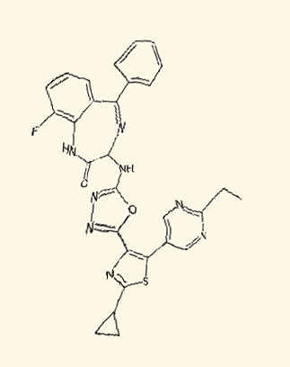 CCc1ncc(-c2sc(C3CC3)nc2-c2nnc(NC3N=C(c4ccccc4)c4cccc(F)c4NC3=O)o2)cn1